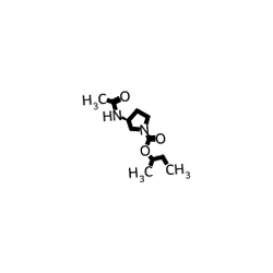 CCC(C)OC(=O)N1CC[C@H](NC(C)=O)C1